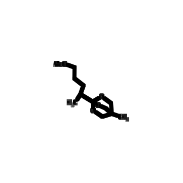 COCCCC(C)C12OCC(C)(CO1)CO2